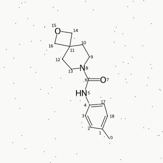 Cc1ccc(NC(=O)N2CCC3(CC2)COC3)cc1